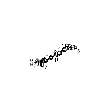 CC(C)(C)OC(=O)N1CC=C(c2ccc(C(=O)Nc3ccc(C4=CCN(C(=O)OC(C)(C)C)CC4)c(F)c3F)cc2F)CC1